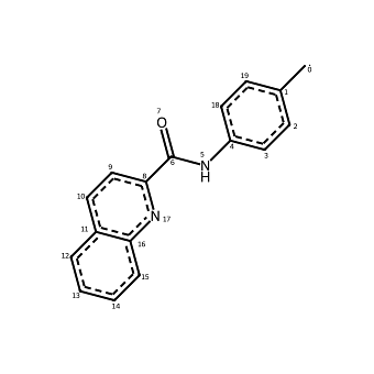 [CH2]c1ccc(NC(=O)c2ccc3ccccc3n2)cc1